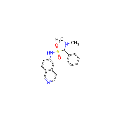 CN(C)C(c1ccccc1)S(=O)(=O)Nc1ccc2cnccc2c1